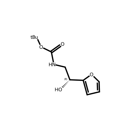 CC(C)(C)OC(=O)NC[C@@H](O)c1ccco1